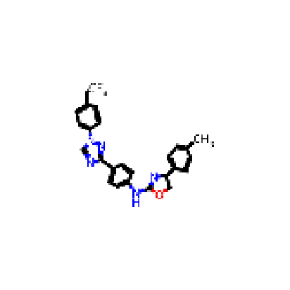 Cc1ccc(C2COC(Nc3ccc(-c4ncn(-c5ccc(CC(F)(F)F)cc5)n4)cc3)=N2)cc1